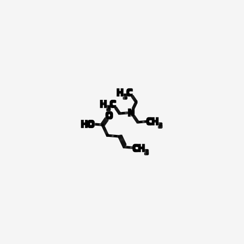 CC=CCC(=O)O.CCN(CC)CC